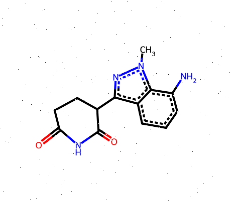 Cn1nc(C2CCC(=O)NC2=O)c2cccc(N)c21